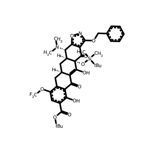 CN(C)[C@@H]1c2onc(OCc3ccccc3)c2C(=O)[C@@]2(O[Si](C)(C)C(C)(C)C)C(O)=C3C(=O)c4c(O)c(C(=O)OC(C)(C)C)cc(OC(F)(F)F)c4C[C@H]3C[C@@H]12